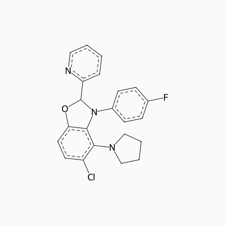 Fc1ccc(N2c3c(ccc(Cl)c3N3CCCC3)OC2c2ccccn2)cc1